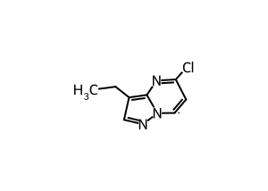 CCc1cnn2[c]cc(Cl)nc12